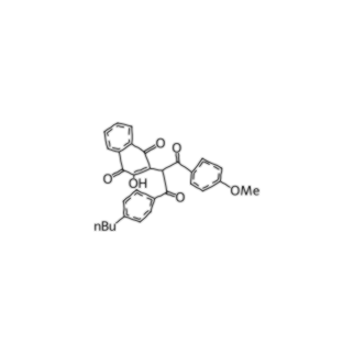 CCCCc1ccc(C(=O)C(C(=O)c2ccc(OC)cc2)C2=C(O)C(=O)c3ccccc3C2=O)cc1